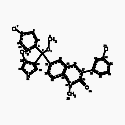 COC(c1ccc(Cl)cc1)(c1ccc2c(c1)cc(-c1cccc(Cl)c1)c(=O)n2C)c1cncn1C